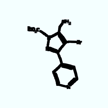 CCOC(=O)n1nc(-c2ccncc2)c(Br)c1N